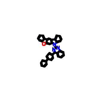 c1ccc(-c2ccc(-c3nc(-n4c5ccccc5c5cc6c(cc54)oc4ccccc46)nc4ccccc34)cc2)cc1